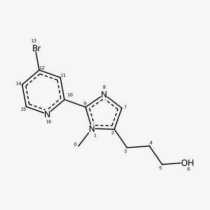 Cn1c(CCCO)cnc1-c1cc(Br)ccn1